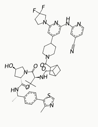 Cc1ncsc1-c1ccc([C@H](C)NC(=O)[C@@H]2C[C@@H](O)CN2C(=O)[C@@H](NC(=O)C2C3CC(C(=O)N4CCC(c5cc(Nc6cc(C#N)ccn6)nc(N6CCC(F)(F)C6)c5)CC4)C2C3)C(C)(C)C)cc1